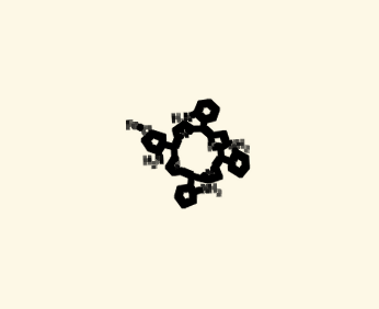 Nc1ccccc1C1=C2C=CC(=N2)C(c2ccccc2N)=C2C=CC(=N2)C(c2ccccc2N)=C2C=CC(=N2)C(c2ccccc2N)=C2C=CC1=N2.[Cl][Fe]